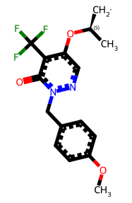 [CH2][C@@H](C)Oc1cnn(Cc2ccc(OC)cc2)c(=O)c1C(F)(F)F